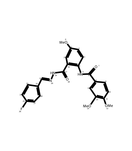 COc1ccc(NC(=O)c2ccc(OC)c(OC)c2)c(C(=O)NN=Cc2ccc(F)cc2)c1